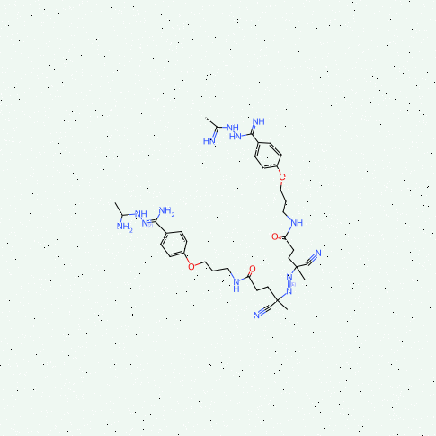 CC(=N)NNC(=N)c1ccc(OCCCNC(=O)CCC(C)(C#N)/N=N/C(C)(C#N)CCC(=O)NCCCOc2ccc(/C(N)=N/NC(C)N)cc2)cc1